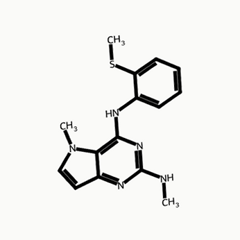 CNc1nc(Nc2ccccc2SC)c2c(ccn2C)n1